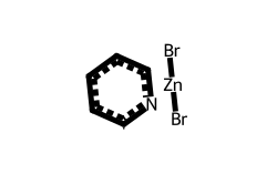 [Br][Zn][Br].[c]1ccccn1